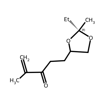 C=C(C)C(=O)CCC1CO[C@@](C)(CC)O1